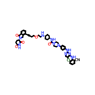 N#Cc1ccccc1Nc1nc(Nc2ccc(N3CCN(C(=O)N[C@H]4CC[C@@H](NCCOCCC#Cc5cccc6c5CN(C5CCC(=O)NC5=O)C6=O)CC4)CC3)cc2)ncc1Cl